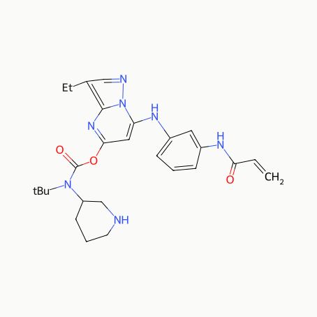 C=CC(=O)Nc1cccc(Nc2cc(OC(=O)N(C3CCCNC3)C(C)(C)C)nc3c(CC)cnn23)c1